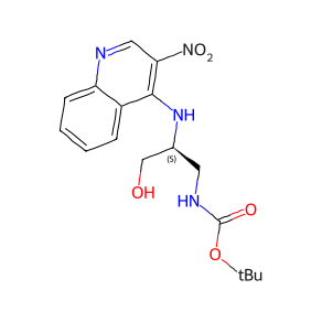 CC(C)(C)OC(=O)NC[C@@H](CO)Nc1c([N+](=O)[O-])cnc2ccccc12